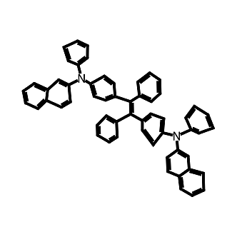 c1ccc(/C(=C(/c2ccccc2)c2ccc(N(c3ccccc3)c3ccc4ccccc4c3)cc2)c2ccc(N(c3ccccc3)c3ccc4ccccc4c3)cc2)cc1